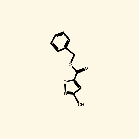 O=C(OCc1ccccc1)c1cc(O)no1